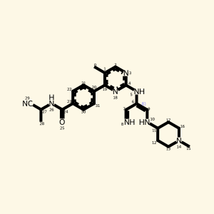 Cc1cnc(N/C(C=N)=C/NC2CCN(C)CC2)nc1-c1ccc(C(=O)NC(C)C#N)cc1